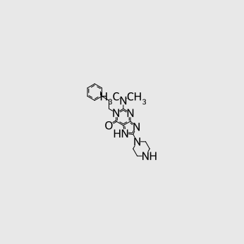 CN(C)c1nc2nc(N3CCNCC3)[nH]c2c(=O)n1CCc1ccccc1